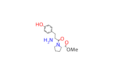 COC(=O)[C@@H]1CCCN1C(=O)[C@H](N)Cc1ccc(O)cc1